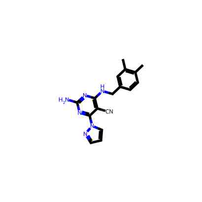 Cc1ccc(CNc2nc(N)nc(-n3cccn3)c2C#N)cc1C